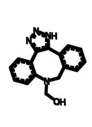 OCN1Cc2ccccc2-c2[nH]nnc2-c2ccccc21